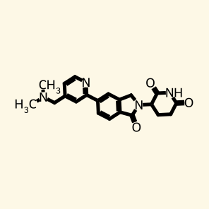 CN(C)Cc1ccnc(-c2ccc3c(c2)CN(C2CCC(=O)NC2=O)C3=O)c1